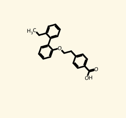 CCc1ccccc1-c1ccccc1OCCc1ccc(C(=O)O)cc1